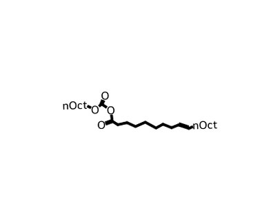 CCCCCCCCC=CCCCCCCCC(=O)OC(=O)OCCCCCCCC